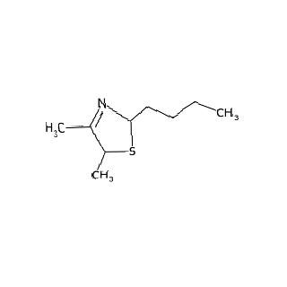 CCCCC1N=C(C)C(C)S1